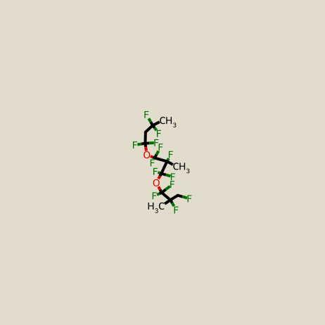 CC(F)(F)CC(F)(F)OC(F)(F)C(C)(F)C(F)(F)OC(F)(F)C(C)(F)CF